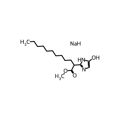 CCCCCCCCCCC(C(=O)OC)c1ncc(O)[nH]1.[NaH]